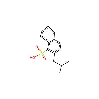 CC(C)Cc1ccc2ccccc2c1S(=O)(=O)O